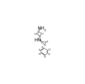 N[C@H]1C[C@@H](N[C@H]2C[C@@H]2c2ccccc2)C1